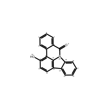 O=c1c2ccccc2c2c(O)ccc3c4ccccc4n1c32